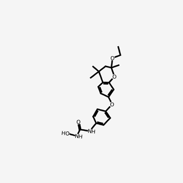 CCOC1(C)CC(C)(C)c2ccc(Oc3ccc(NC(=O)NO)cc3)cc2O1